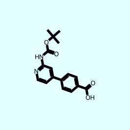 CC(C)(C)OC(=O)Nc1cc(-c2ccc(C(=O)O)cc2)ccn1